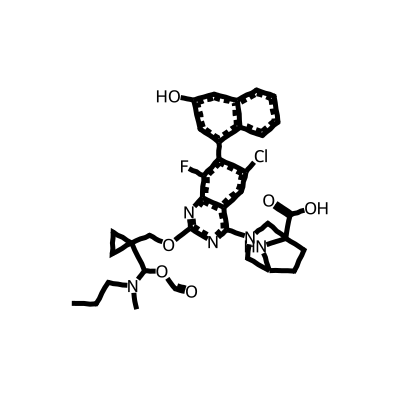 CCCN(C)C(OC=O)C1(COc2nc(N3CC4CCC(C(=O)O)(C3)N4)c3cc(Cl)c(-c4cc(O)cc5ccccc45)c(F)c3n2)CC1